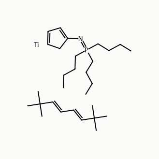 CC(C)(C)C=CC=CC(C)(C)C.CCCCP(CCCC)(CCCC)=NC1=CC=CC1.[Ti]